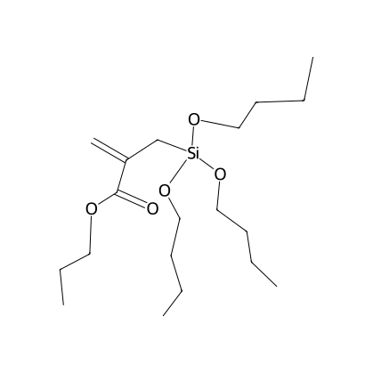 C=C(C[Si](OCCCC)(OCCCC)OCCCC)C(=O)OCCC